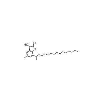 CCCCCCCCCCCCCCC(C)c1cc(C)cc2c1OC(=O)C2O